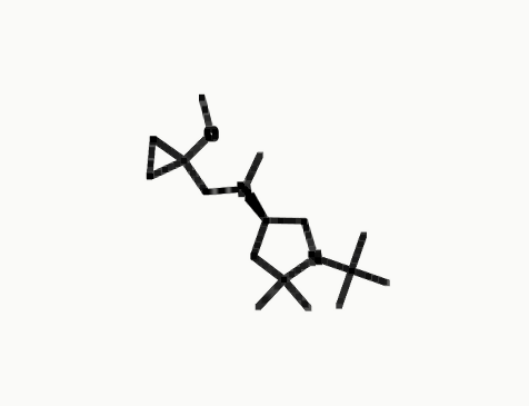 COC1(CN(C)[C@H]2CN(C(C)(C)C)C(C)(C)C2)CC1